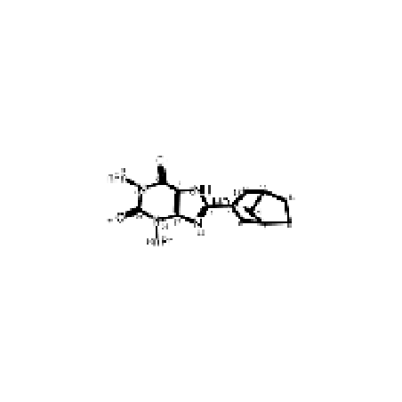 CCCn1c(=O)c2[nH]c(C3CC4CCC(C3)C4C(=O)O)nc2n(CCC)c1=O